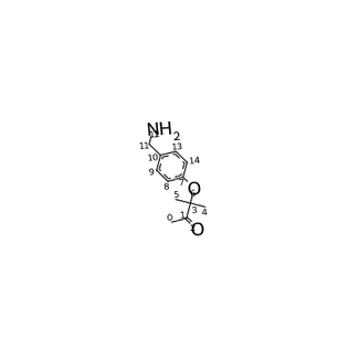 CC(=O)C(C)(C)Oc1ccc(CN)cc1